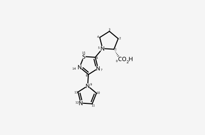 O=C(O)[C@H]1CCCN1c1nc(-n2ccnc2)ns1